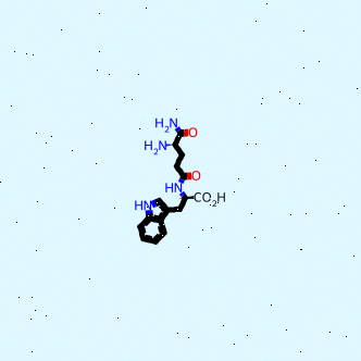 NC(=O)[C@@H](N)CCC(=O)N[C@H](Cc1c[nH]c2ccccc12)C(=O)O